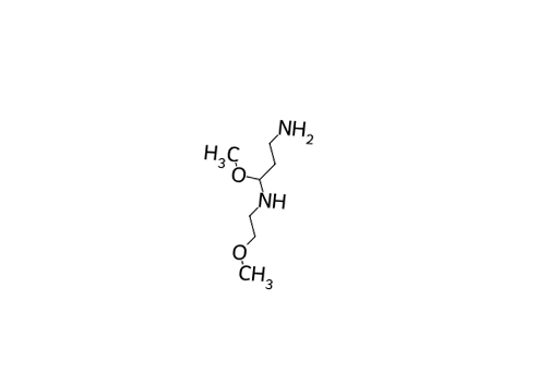 COCCNC(CCN)OC